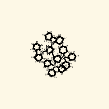 c1ccc([Si](c2ccccc2)(c2ccccc2)c2cc(-c3cc(-n4c5ccccc5c5ccccc54)nc(-n4c5ccccc5c5ccccc54)n3)cc([Si](c3ccccc3)(c3ccccc3)c3ccccc3)c2)cc1